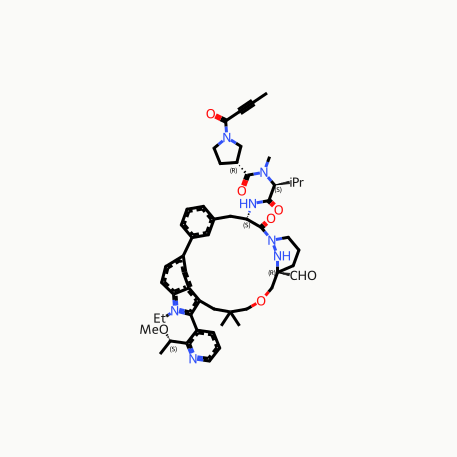 CC#CC(=O)N1CC[C@@H](C(=O)N(C)[C@H](C(=O)N[C@H]2Cc3cccc(c3)-c3ccc4c(c3)c(c(-c3cccnc3[C@H](C)OC)n4CC)CC(C)(C)COC[C@@]3(C=O)CCCN(N3)C2=O)C(C)C)C1